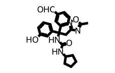 Cc1nc(CC(NC(=O)NC2CCCC2)(c2cccc(O)c2)c2cccc(C=O)c2)no1